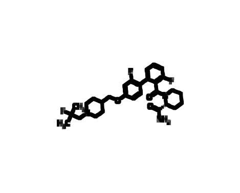 CC(C)(F)CN1CCC(COc2ccc(-c3cccc(F)c3C(=O)N3CCCC[C@@H]3C(N)=O)c(F)c2)CC1